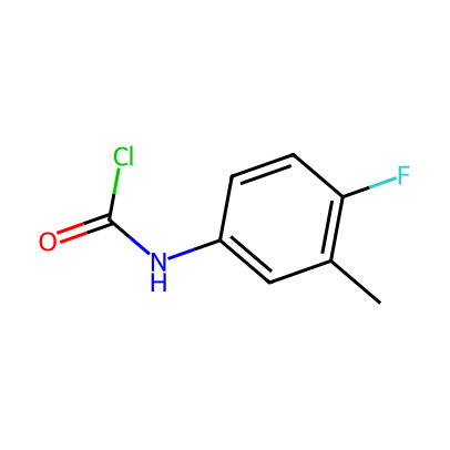 Cc1cc(NC(=O)Cl)ccc1F